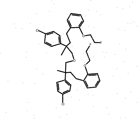 CC(CCc1ccccc1OCCF)(COCC(C)(CCc1ccccc1OCCF)c1ccc(Cl)cc1)c1ccc(Cl)cc1